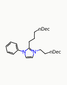 CCCCCCCCCCCCCc1n(-c2ccccc2)cc[n+]1CCCCCCCCCCCC